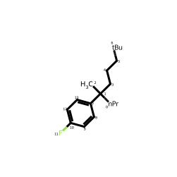 CCCC(C)(CCCC(C)(C)C)c1ccc(F)cc1